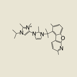 Cc1ccc2c(n1)oc1ccc(C)c(C(C)(C)N3C=CN(c4cn(C(C)C)c(C)[n+]4C)C3C)c12